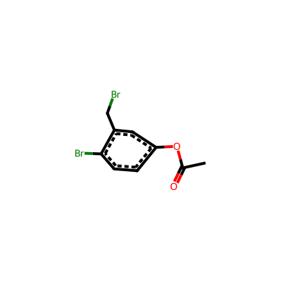 CC(=O)Oc1ccc(Br)c(CBr)c1